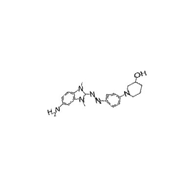 CN1c2ccc(N)cc2N(C)C1N=Nc1ccc(N2CCCC(O)C2)cc1